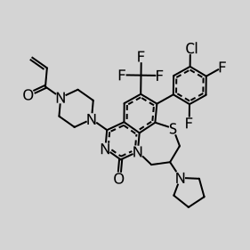 C=CC(=O)N1CCN(c2nc(=O)n3c4c(c(-c5cc(Cl)c(F)cc5F)c(C(F)(F)F)cc24)SCC(N2CCCC2)C3)CC1